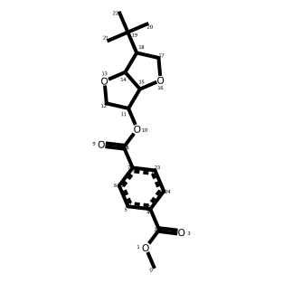 COC(=O)c1ccc(C(=O)OC2COC3C2OCC3C(C)(C)C)cc1